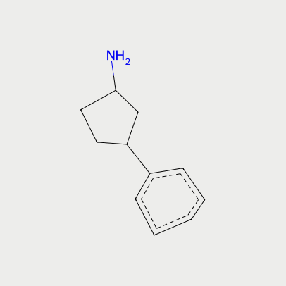 NC1CCC(c2ccccc2)C1